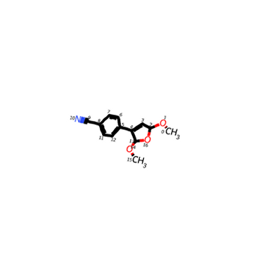 COC1C=C(c2ccc(C#N)cc2)C(OC)O1